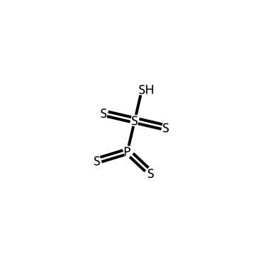 S=P(=S)S(=S)(=S)S